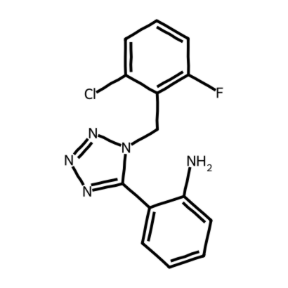 Nc1ccccc1-c1nnnn1Cc1c(F)cccc1Cl